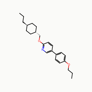 CCCOc1ccc(-c2ccc(OC[C@H]3CC[C@H](CCC)CC3)nc2)cc1